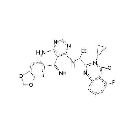 CCC(Nc1ncnc(N)c1C(=N)c1ccc2c(c1)OCO2)c1nc2cccc(F)c2c(=O)n1C1CC1